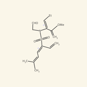 C=C/C(=C\C=C(C)C)S(=O)(=O)N(CC=O)/C(=C/CC)C(=C)OC